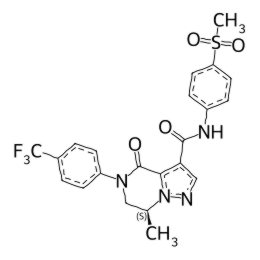 C[C@H]1CN(c2ccc(C(F)(F)F)cc2)C(=O)c2c(C(=O)Nc3ccc(S(C)(=O)=O)cc3)cnn21